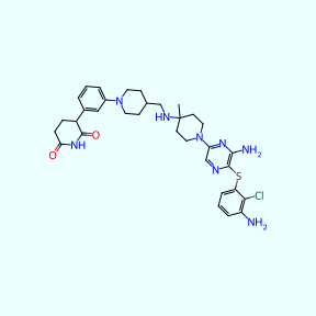 CC1(NCC2CCN(c3cccc(C4CCC(=O)NC4=O)c3)CC2)CCN(c2cnc(Sc3cccc(N)c3Cl)c(N)n2)CC1